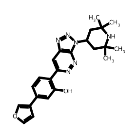 CC1(C)CC(n2nnc3cc(-c4ccc(-c5ccoc5)cc4O)nnc32)CC(C)(C)N1